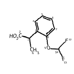 CC(C(=O)O)c1ccccc1OC(F)F